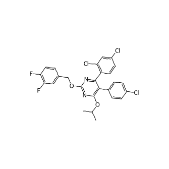 CC(C)Oc1nc(OCc2ccc(F)c(F)c2)nc(-c2ccc(Cl)cc2Cl)c1-c1ccc(Cl)cc1